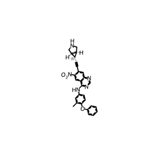 Cc1cc(Nc2ncnc3cc(C#C[C@@H]4[C@H]5CNC[C@@H]45)c([N+](=O)[O-])cc23)ccc1Oc1ccccc1